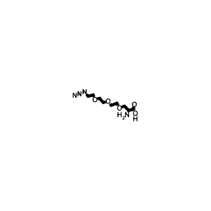 [N-]=[N+]=NCCOCCOCCOC[C@H](N)C(=O)O